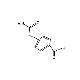 NC(=O)Oc1ccc(C(=O)Cl)cc1